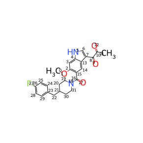 COc1cc2[nH]cc(C(=O)C(C)=O)c2cc1C(=O)N1CCC(Cc2ccc(F)cc2)CC1